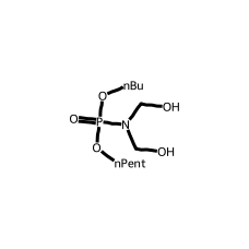 CCCCCOP(=O)(OCCCC)N(CO)CO